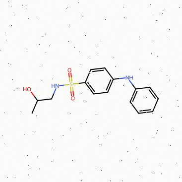 CC(O)CNS(=O)(=O)c1ccc(Nc2ccccc2)cc1